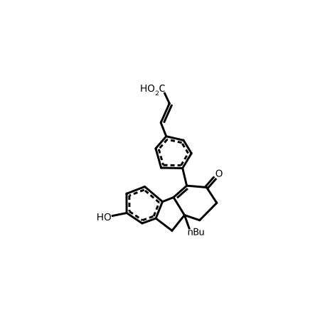 CCCCC12CCC(=O)C(c3ccc(/C=C/C(=O)O)cc3)=C1c1ccc(O)cc1C2